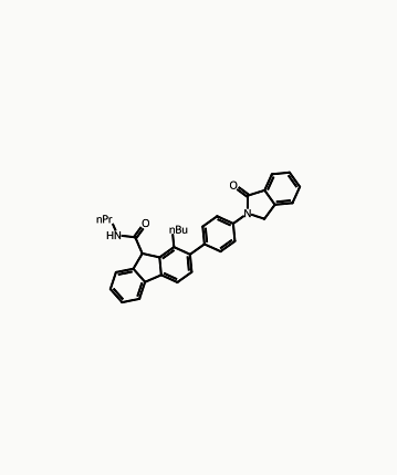 CCCCc1c(-c2ccc(N3Cc4ccccc4C3=O)cc2)ccc2c1C(C(=O)NCCC)c1ccccc1-2